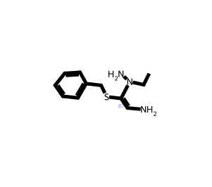 CCN(N)/C(=C\N)SCc1ccccc1